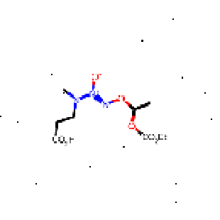 CCOC(=O)OC(C)O/N=[N+](\[O-])N(C)CCC(=O)O